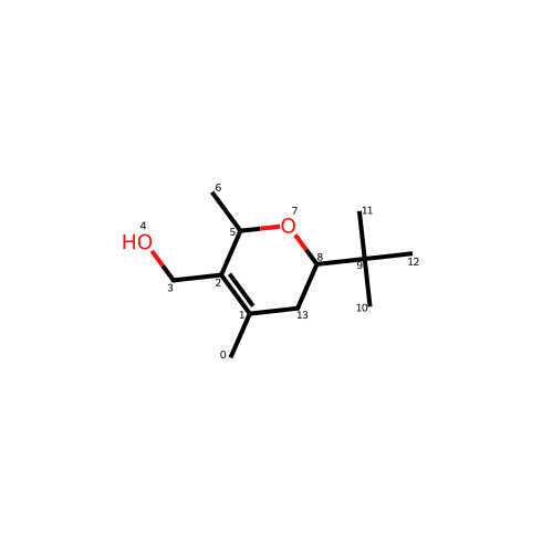 CC1=C(CO)C(C)OC(C(C)(C)C)C1